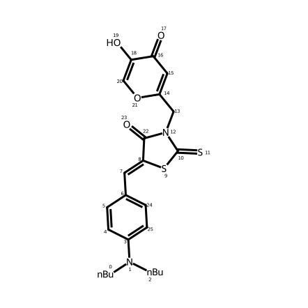 CCCCN(CCCC)c1ccc(/C=C2\SC(=S)N(Cc3cc(=O)c(O)co3)C2=O)cc1